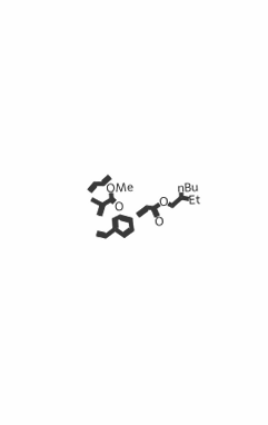 C=C(C)C(=O)OC.C=CC(=O)OCC(CC)CCCC.C=CC=C.C=Cc1ccccc1